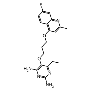 CCc1nc(N)nc(N)c1OCCCOc1cc(C)nc2cc(F)ccc12